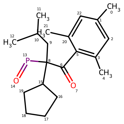 Cc1cc(C)c(C(=O)C(CC(C)C)(P=O)C2CCCC2)c(C)c1